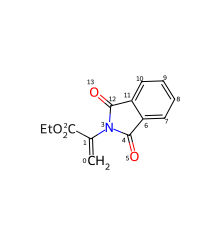 C=C(C(=O)OCC)N1C(=O)c2ccccc2C1=O